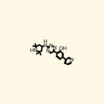 CC1(C)CC(Nc2ncc(-c3ccc(-c4cccnc4)cc3O)nn2)CC(C)(C)N1